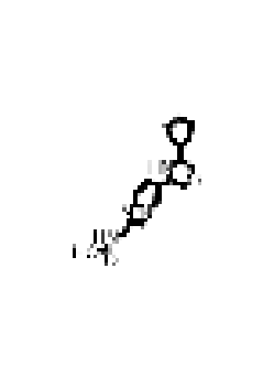 O=C(O)NCc1cn2cc(C3COCC(C4CCCCC4)N3)ccc2n1